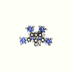 Cc1nc(C)nc(-c2ccc3c(c2)c2cc(-c4nc(C)nc(C)n4)ccc2n3-c2cc(C#N)cc(-n3c4ccc(-c5nc(C)nc(C)n5)cc4c4cc(-c5nc(C)nc(C)n5)ccc43)c2-c2cccc(C(F)(F)F)c2)n1